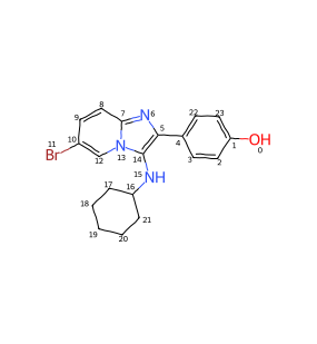 Oc1ccc(-c2nc3ccc(Br)cn3c2NC2CCCCC2)cc1